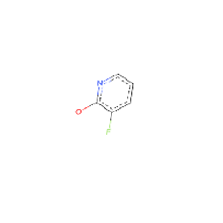 [O]c1ncccc1F